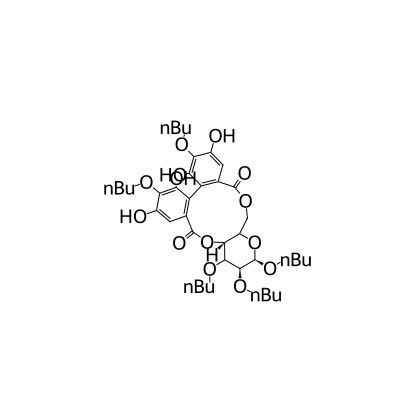 CCCCOc1c(O)cc2c(c1O)-c1c(cc(O)c(OCCCC)c1O)C(=O)O[C@@H]1C(COC2=O)O[C@@H](OCCCC)[C@@H](OCCCC)C1OCCCC